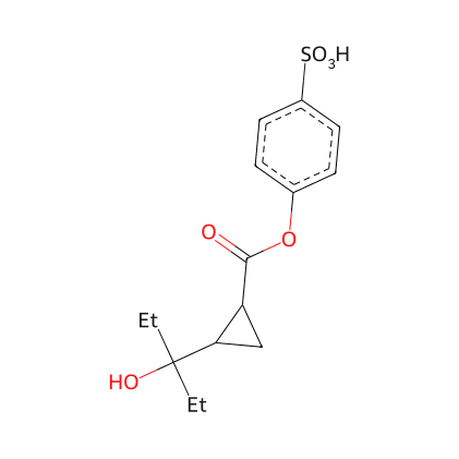 CCC(O)(CC)C1CC1C(=O)Oc1ccc(S(=O)(=O)O)cc1